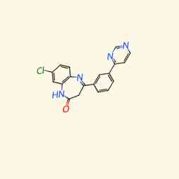 O=C1CC(c2cccc(-c3ccncn3)c2)=Nc2ccc(Cl)cc2N1